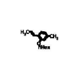 CC=Cc1ccc(C)cc1OCCCCCC